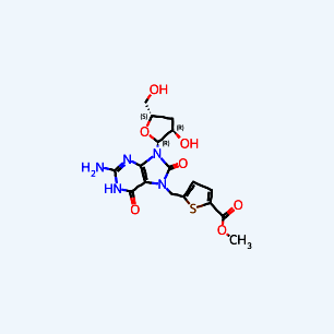 COC(=O)c1ccc(Cn2c(=O)n([C@@H]3O[C@H](CO)C[C@H]3O)c3nc(N)[nH]c(=O)c32)s1